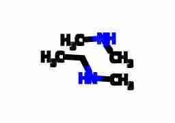 CCNC.CNC